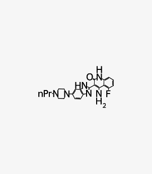 CCCN1CCN(c2ccc3nc(-c4c(N)c5c(F)cccc5[nH]c4=O)[nH]c3c2)CC1